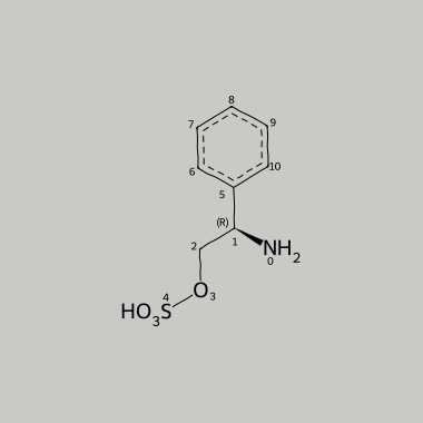 N[C@@H](COS(=O)(=O)O)c1ccccc1